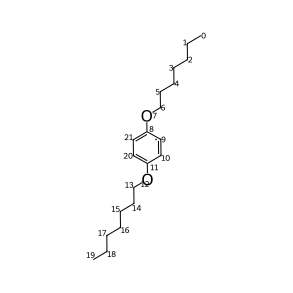 CCCCCCCOc1[c]cc(OCCCCCCC)cc1